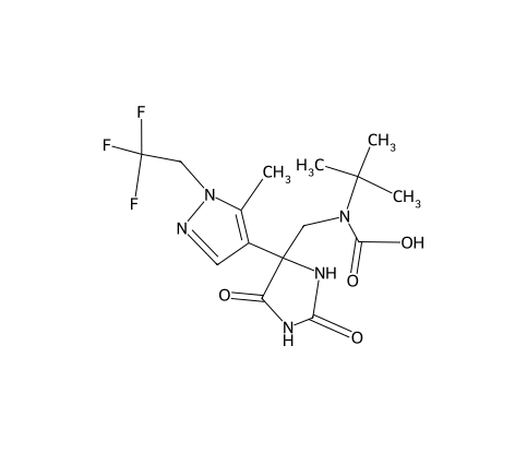 Cc1c(C2(CN(C(=O)O)C(C)(C)C)NC(=O)NC2=O)cnn1CC(F)(F)F